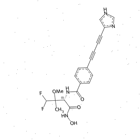 COC(C)(C(F)F)[C@H](NC(=O)c1ccc(C#CC#Cc2c[nH]cn2)cc1)C(=O)NO